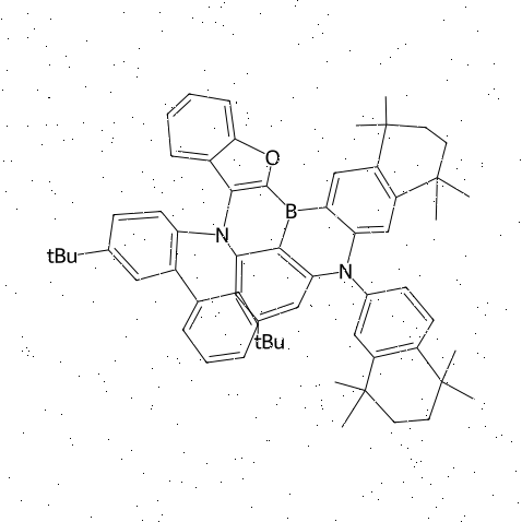 CC(C)(C)c1ccc(N2c3cc(C(C)(C)C)cc4c3B(c3cc5c(cc3N4c3ccc4c(c3)C(C)(C)CCC4(C)C)C(C)(C)CCC5(C)C)c3oc4ccccc4c32)c(-c2ccccc2)c1